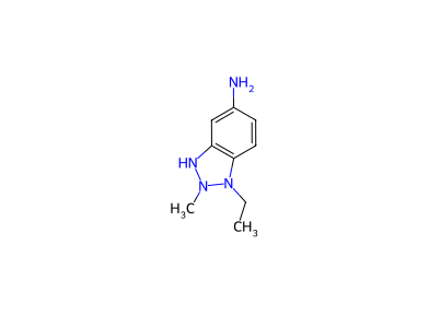 CCN1c2ccc(N)cc2NN1C